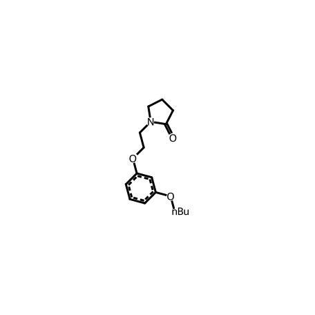 CCCCOc1cccc(OCCN2CCCC2=O)c1